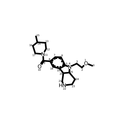 COCCN1c2ccc(C(=O)N3CCC(C)CC3)cc2C2CNCCC21